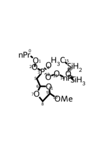 CCCOOP(=O)(CC1OCC(OC)O1)OOCCC.C[SiH2]O[SiH3]